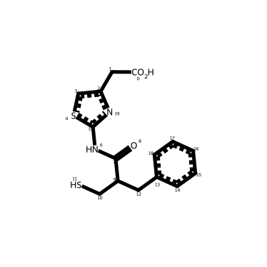 O=C(O)Cc1csc(NC(=O)C(CS)Cc2ccccc2)n1